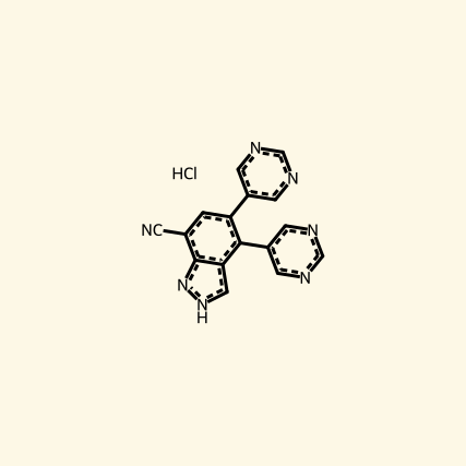 Cl.N#Cc1cc(-c2cncnc2)c(-c2cncnc2)c2c[nH]nc12